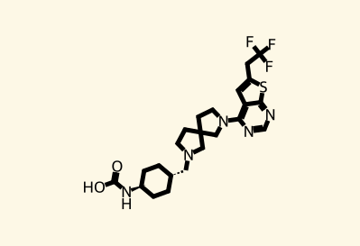 O=C(O)N[C@H]1CC[C@H](CN2CCC3(CCN(c4ncnc5sc(CC(F)(F)F)cc45)C3)C2)CC1